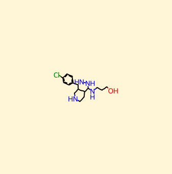 OCCCNC1NNC(c2ccc(Cl)cc2)C2CNCCC12